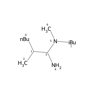 CCCCC(C)C(N)N(C)C(C)CC